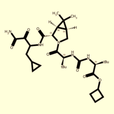 CC(C)(C)[C@H](NC(=O)N[C@H](C(=O)N1C[C@H]2[C@@H]([C@H]1C(=O)NC(CC1CC1)C(=O)C(N)=O)C2(C)C)C(C)(C)C)C(=O)OC1CCC1